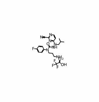 CC(C)CN(NC(=O)N(CCCN)c1ccc(F)cc1)c1ccnc(C#N)n1.O=C(O)C(F)(F)F